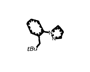 CC(C)(C)Cc1ccccc1-n1cccn1